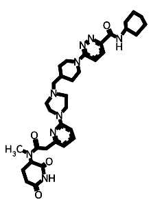 CN(C(=O)Cc1cccc(N2CCN(CC3CCN(c4ccc(C(=O)NC5CCCCC5)nn4)CC3)CC2)n1)C1CCC(=O)NC1=O